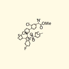 COC(=O)C(c1ccc(-c2cccc(-c3c(-c4ccsc4C#N)c4cc(F)ccc4n3S(=O)(=O)c3ccc(C)cc3)c2)c(Cl)c1)N(C)C